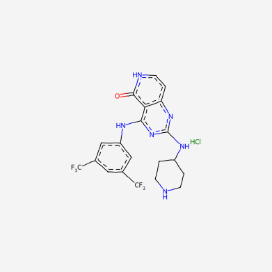 Cl.O=c1[nH]ccc2nc(NC3CCNCC3)nc(Nc3cc(C(F)(F)F)cc(C(F)(F)F)c3)c12